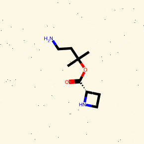 CC(C)(CCN)OC(=O)[C@@H]1CCN1